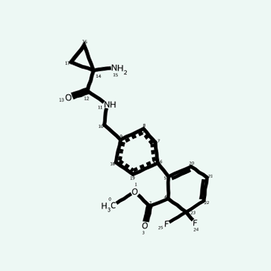 COC(=O)C1C(c2ccc(CNC(=O)C3(N)CC3)cc2)=CC=CC1(F)F